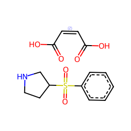 O=C(O)/C=C\C(=O)O.O=S(=O)(c1ccccc1)C1CCNC1